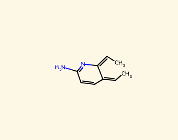 C/C=c1/ccc(N)n/c1=C/C